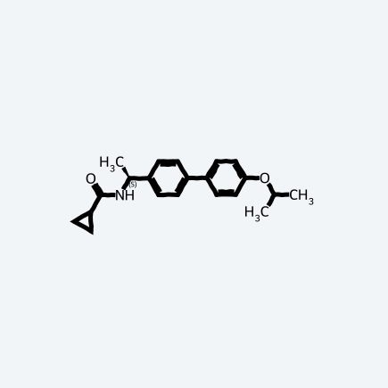 CC(C)Oc1ccc(-c2ccc([C@H](C)NC(=O)C3CC3)cc2)cc1